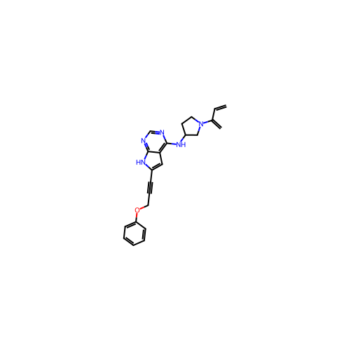 C=CC(=C)N1CCC(Nc2ncnc3[nH]c(C#CCOc4ccccc4)cc23)C1